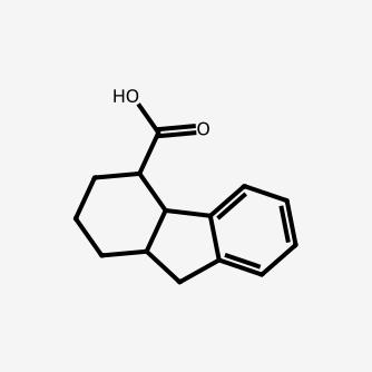 O=C(O)C1CCCC2Cc3ccccc3C21